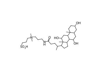 CC(CCC(=O)NCCC[N+](C)(C)CCCS(=O)(=O)O)C1CCC2C3C(O)CC4CC(O)CCC4(C)C3CC(O)C12C